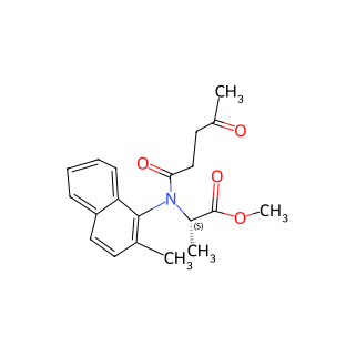 COC(=O)[C@H](C)N(C(=O)CCC(C)=O)c1c(C)ccc2ccccc12